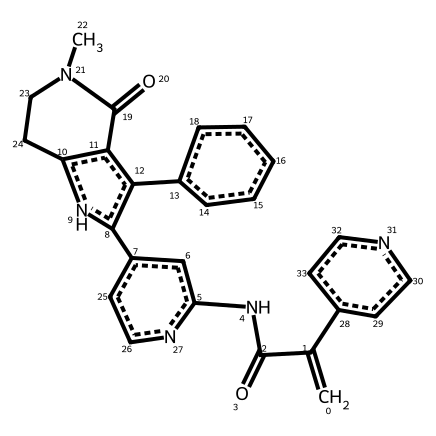 C=C(C(=O)Nc1cc(-c2[nH]c3c(c2-c2ccccc2)C(=O)N(C)CC3)ccn1)c1ccncc1